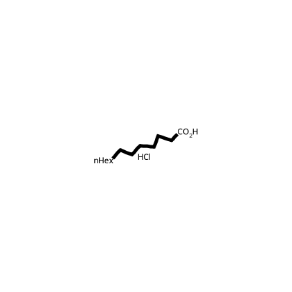 CCCCCCCCCCCCC(=O)O.Cl